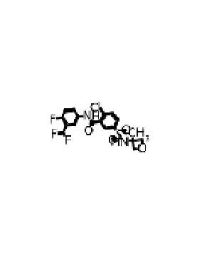 CC1(NS(=O)(=O)c2ccc(Cl)c(C(=O)Nc3ccc(F)c(C(F)F)c3)c2)COC1